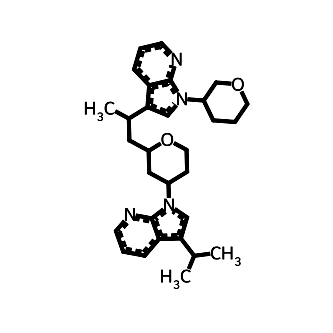 CC(C)c1cn(C2CCOC(CC(C)c3cn(C4CCCOC4)c4ncccc34)C2)c2ncccc12